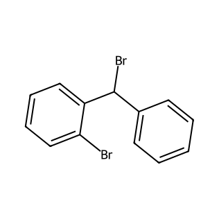 Brc1ccccc1C(Br)c1ccccc1